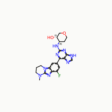 CN1CCCn2c1nc1c(F)cc(-c3nc(N[C@@H]4CCOC[C@H]4O)nc4[nH]cnc34)cc12